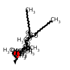 CCCCCCCCCCCCCCCC(=O)OCC(COC(=O)CCCCCCCCCCCCCCC)OC(=O)CC(C)CC(=O)Oc1cc(C)cc(C)c1C(C)(C)CC(=O)Oc1ccc2c3c1O[C@H]1[C@]4(OC)CC[C@@]5(C[C@@H]4[C@](C)(O)C(C)(C)C)C(C2)N(CC2CC2)CC[C@]315